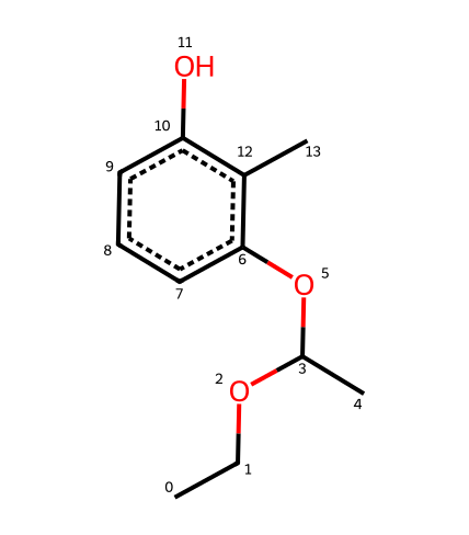 CCOC(C)Oc1cccc(O)c1C